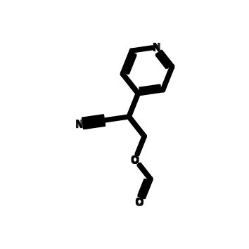 N#CC(COC=O)c1ccncc1